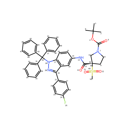 CC(C)(C)OC(=O)N1CC[C@](C(=O)Nc2ccc3c(c2)c(-c2ccc(F)cc2)nn3C(c2ccccc2)(c2ccccc2)c2ccccc2)(S(C)(=O)=O)C1